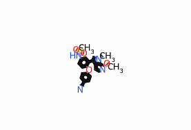 COc1nccc2c(-c3cc(NS(C)(=O)=O)ccc3Oc3ccc(C#N)cc3)cn(C)c12